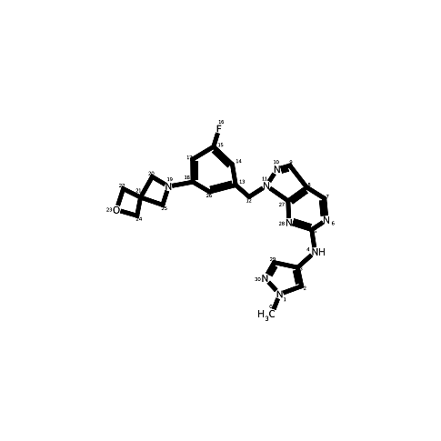 Cn1cc(Nc2ncc3cnn(Cc4cc(F)cc(N5CC6(COC6)C5)c4)c3n2)cn1